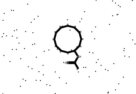 CC(=O)OC1CCCCCCCCCCC1